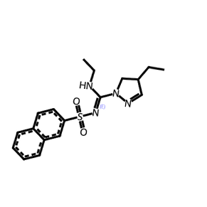 CCN/C(=N\S(=O)(=O)c1ccc2ccccc2c1)N1CC(CC)C=N1